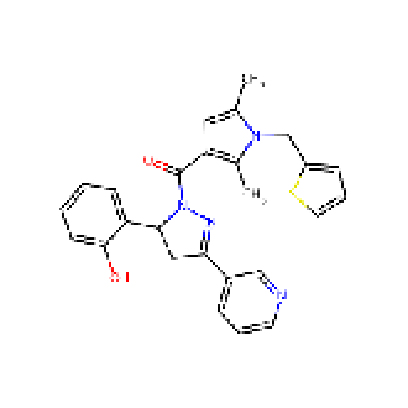 Cc1cc(C(=O)N2N=C(c3cccnc3)CC2c2ccccc2O)c(C)n1Cc1cccs1